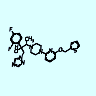 C[C@@H](N1CCN(c2cccc(OCc3cccs3)n2)CC1)[C@](O)(Cn1cncn1)c1ccc(F)cc1F